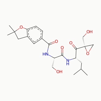 CC(C)C[C@H](NC(=O)[C@H](CO)NC(=O)c1ccc2c(c1)CC(C)(C)O2)C(=O)[C@@]1(CO)CO1